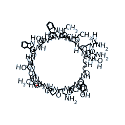 CCCC[C@H]1C(=O)N(C)[C@@H](CCCC)C(=O)N[C@@H](CCCNC(=N)N)C(=O)NC(C(=O)N[C@@H](CO)C(N)=O)CSCC(=O)N[C@@H](Cc2ccc(O)cc2)C(=O)N(C)[C@@H](C)C(=O)N[C@@H](CC(N)=O)C(=O)N2CCC[C@H]2C(=O)N[C@@H](CO)C(=O)N[C@@H](CC(C)C)C(=O)N2C[C@H](O)C[C@H]2C(=O)N[C@@H](Cc2c[nH]c3ccccc23)C(=O)N[C@@H](CO)C(=O)N[C@@H](Cc2c[nH]c3ccccc23)C(=O)N1C